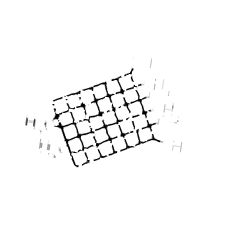 CC1C2C3C4C5C6C7C8C9C%10C%11C%12C%13C(C)C%14(C)C%15(C)C%16(C)C1(C)C21C32C43C54C65C7(C)C6(C)C7(C)C8(C)C98C%109C%11%10C%12%11C%13%14C%15%12C%161C21C%11%12C%102C9%10C78C65C4%10C312